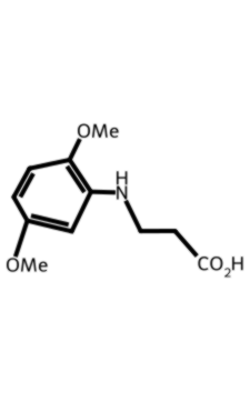 COc1ccc(OC)c(NCCC(=O)O)c1